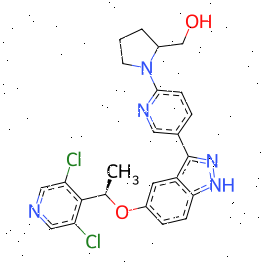 C[C@@H](Oc1ccc2[nH]nc(-c3ccc(N4CCCC4CO)nc3)c2c1)c1c(Cl)cncc1Cl